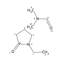 CCN1CCCC1=O.CN(C)C=O